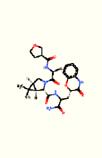 CC(C)(C)[C@H](NC(=O)[C@H]1CCOC1)C(=O)N1C[C@H]2[C@@H]([C@H]1C(=O)N[C@@H](C[C@@H]1Oc3ccccc3NC1=O)C(N)=O)C2(C)C